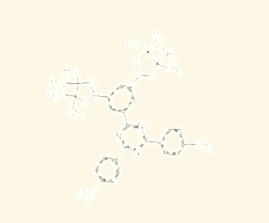 Cc1ccc(-c2nc(-c3ccc(C)cc3)nc(-c3cc(B4OC(C)(C)C(C)(C)O4)cc(B4OC(C)(C)C(C)(C)O4)c3)n2)cc1